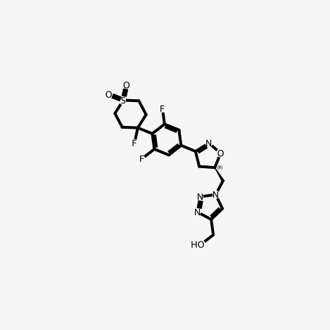 O=S1(=O)CCC(F)(c2c(F)cc(C3=NO[C@@H](Cn4cc(CO)nn4)C3)cc2F)CC1